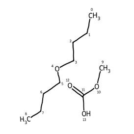 CCCCOCCCC.COC(=O)O